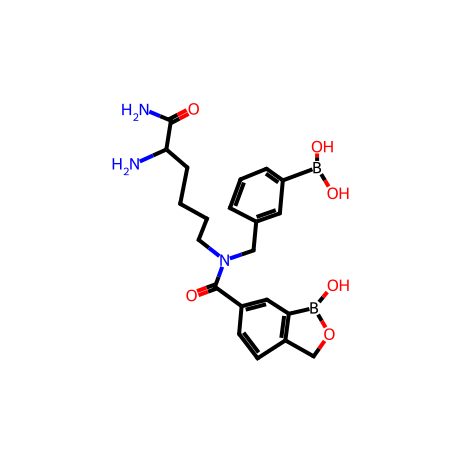 NC(=O)C(N)CCCCN(Cc1cccc(B(O)O)c1)C(=O)c1ccc2c(c1)B(O)OC2